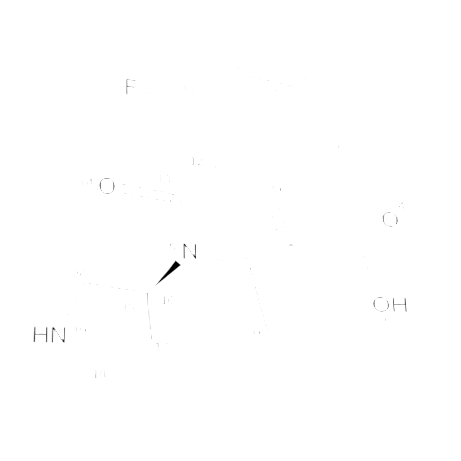 Cc1c(C(=O)O)c2cccc(F)c2c(=O)n1[C@H]1CCNC1